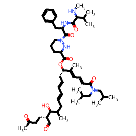 CNC(C(=O)NC(Cc1ccccc1)C(=O)N1CCCC(C(=O)O[C@@H](C/C=C/C=C/CC(C)C(O)[C@H](C=O)CCC(C)=O)/C(C)=C/C=C/C(=O)N(CC(C)C)CC(C)C)N1)C(C)C